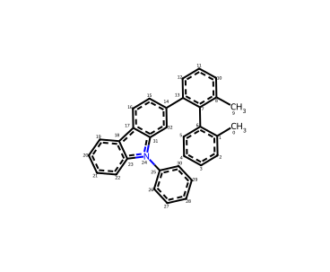 Cc1ccccc1-c1c(C)cccc1-c1ccc2c3ccccc3n(-c3ccccc3)c2c1